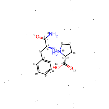 NC(=O)[C@@H](N)Cc1ccccc1.O=C(O)[C@@H]1CCCN1